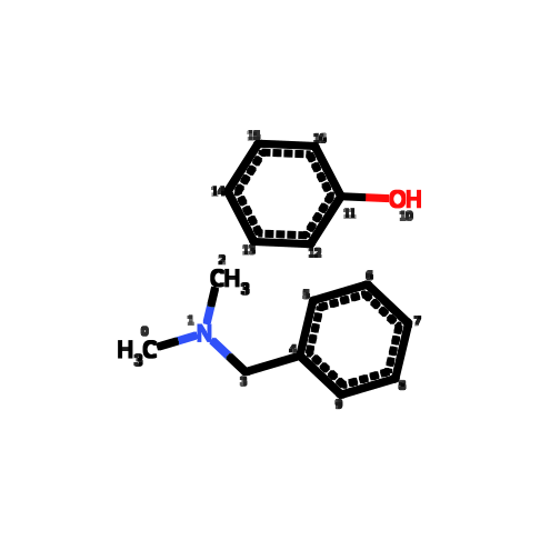 CN(C)Cc1ccccc1.Oc1ccccc1